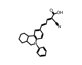 N#C/C(=C\C=C\c1ccc2c(c1)C1CCCCC1CN2c1ccccc1)C(=O)O